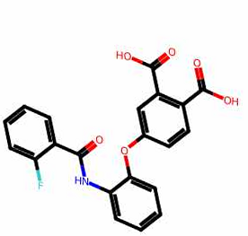 O=C(Nc1ccccc1Oc1ccc(C(=O)O)c(C(=O)O)c1)c1ccccc1F